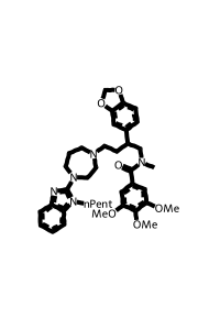 CCCCCn1c(N2CCCN(CCC(CN(C)C(=O)c3cc(OC)c(OC)c(OC)c3)c3ccc4c(c3)OCO4)CC2)nc2ccccc21